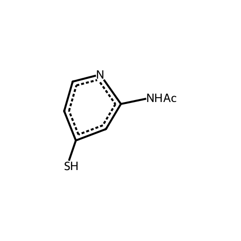 CC(=O)Nc1cc(S)ccn1